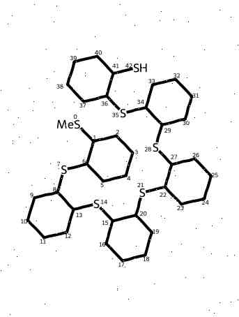 CSC1CCCCC1SC1CCCCC1SC1CCCCC1SC1CCCCC1SC1CCCCC1SC1CCCCC1S